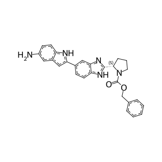 Nc1ccc2[nH]c(-c3ccc4[nH]c([C@@H]5CCCN5C(=O)OCc5ccccc5)nc4c3)cc2c1